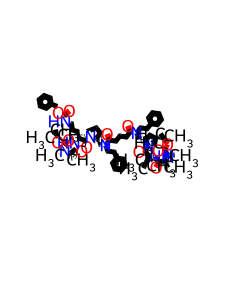 C[C@@H](C(=O)N[C@@H](CCCNC(=O)OCc1ccccc1)C(=O)N1CCC[C@H]1CN(CCc1ccccc1)C(=O)CCCC(=O)N(CCc1ccccc1)C[C@@H]1CCCN1C(=O)[C@@H](NC(=O)[C@H](C)N(C)C(=O)OC(C)(C)C)C(C)(C)C)N(C)C(=O)OC(C)(C)C